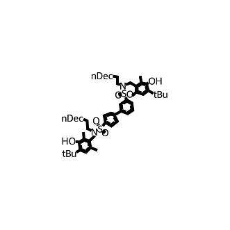 CCCCCCCCCCCCN(Cc1c(C)cc(C(C)(C)C)c(O)c1C)S(=O)(=O)c1ccc(-c2cccc(S(=O)(=O)N(CCCCCCCCCCCC)Cc3c(C)cc(C(C)(C)C)c(O)c3C)c2)cc1